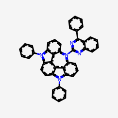 c1ccc(-c2nc(-n3c4cccc5c4c4c6c7c(cccc73)n(-c3ccccc3)c6ccc4n5-c3ccccc3)nc3ccccc23)cc1